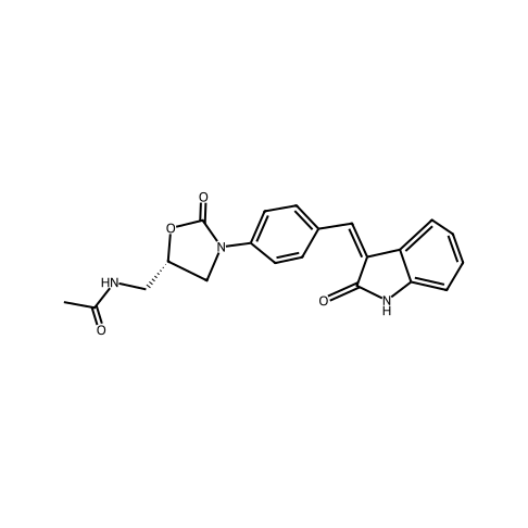 CC(=O)NC[C@H]1CN(c2ccc(C=C3C(=O)Nc4ccccc43)cc2)C(=O)O1